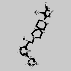 CC1=C(N2CCC3(CCN(C[C@@H](O)c4cncc(-n5cnnn5)n4)CC3)CC2)COC1=O